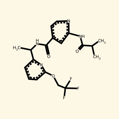 CC(C)C(=O)Nc1cc(C(=O)NC(C)c2cccc(OCC(F)(F)F)n2)ccn1